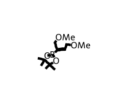 COC/C=C(\COC)B1OC(C)(C)C(C)(C)O1